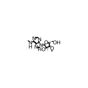 CNc1ncnc2c1ncn2[C@@H]1O[C@H](CO)[C@@H](OC)[C@@]1(C)O